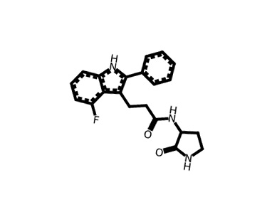 O=C(CCc1c(-c2ccccc2)[nH]c2cccc(F)c12)NC1CCNC1=O